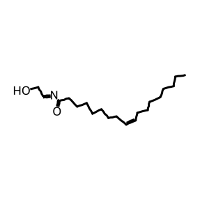 CCCCCCCC/C=C\CCCCCCCC(=O)N=CCO